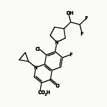 O=C(O)c1cn(C2CC2)c2c(Cl)c(N3CCC(C(O)C(F)F)C3)c(F)cc2c1=O